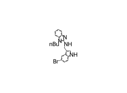 CCCCn1c(NCc2c[nH]c3ccc(Br)cc23)nc2ccccc21